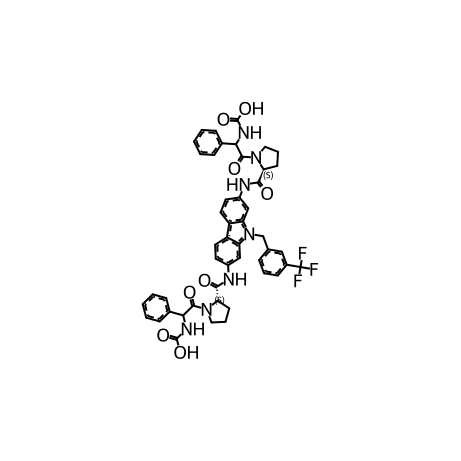 O=C(O)NC(C(=O)N1CCC[C@H]1C(=O)Nc1ccc2c3ccc(NC(=O)[C@@H]4CCCN4C(=O)C(NC(=O)O)c4ccccc4)cc3n(Cc3cccc(C(F)(F)F)c3)c2c1)c1ccccc1